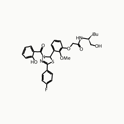 CC[C@H](C)[C@@H](CO)NC(=O)COc1cccc(C2SC(c3ccc(F)cc3)=NN2C(=O)c2ccccc2O)c1OC